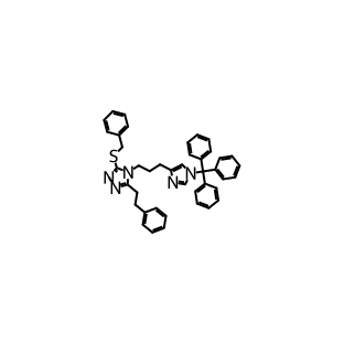 c1ccc(CCc2nnc(SCc3ccccc3)n2CCCc2cn(C(c3ccccc3)(c3ccccc3)c3ccccc3)cn2)cc1